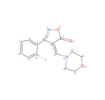 O=C1ON=C(c2ccccc2F)/C1=C/N1CCOCC1